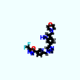 FC(F)c1nnc(-c2ccc(Cn3cc(-c4ccc5c(CN6CCOCC6)c[nH]c5c4)nn3)nc2)o1